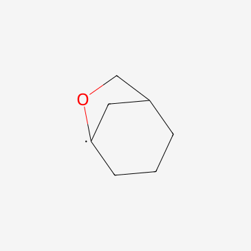 C1C[C]2CC(C1)CO2